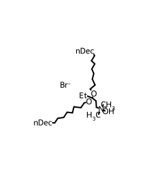 CCCCCCCCCCCCCCCCCCOC(CC)(CC[N+](C)(C)O)OCCCCCCCCCCCCCCCCCC.[Br-]